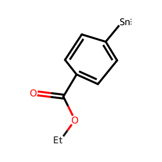 CCOC(=O)c1cc[c]([Sn])cc1